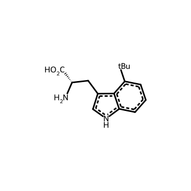 CC(C)(C)c1cccc2[nH]cc(C[C@H](N)C(=O)O)c12